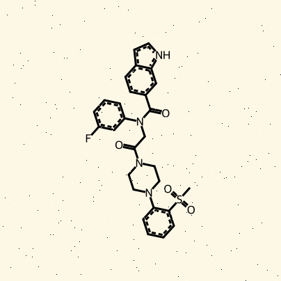 CS(=O)(=O)c1ccccc1N1CCN(C(=O)CN(C(=O)c2ccc3cc[nH]c3c2)c2cccc(F)c2)CC1